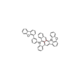 c1cc(-c2cccc3c2oc2ccccc23)cc(N(c2ccccc2-c2ccc3c(c2)c2cccc4c2n3-c2ccccc2O4)c2cccc3ccccc23)c1